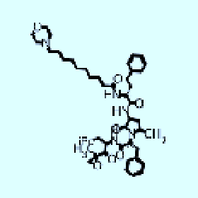 CC(C)CC(NC(=O)[C@H](Cc1ccccc1)N1C(=O)C(NC(=O)[C@H](CCc2ccccc2)NC(=O)CCCCCCCCCN2CCOCC2)CC1C)C(=O)C1(C)CO1